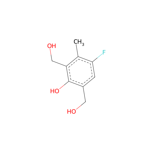 Cc1c(F)cc(CO)c(O)c1CO